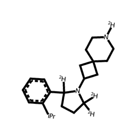 [2H]N1CCC2(CC1)CC(N1C([2H])([2H])CCC1([2H])c1ccccc1C(C)C)C2